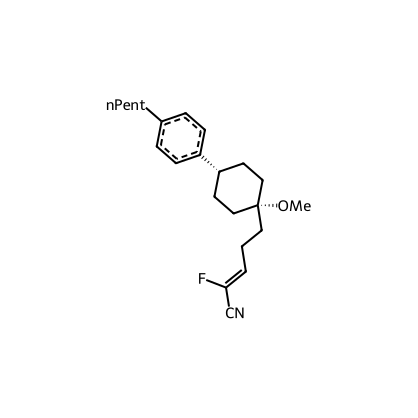 CCCCCc1ccc([C@H]2CC[C@@](CCC=C(F)C#N)(OC)CC2)cc1